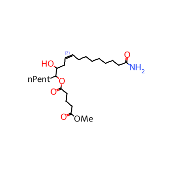 CCCCCC(OC(=O)CCCC(=O)OC)C(O)C/C=C\CCCCCCCC(N)=O